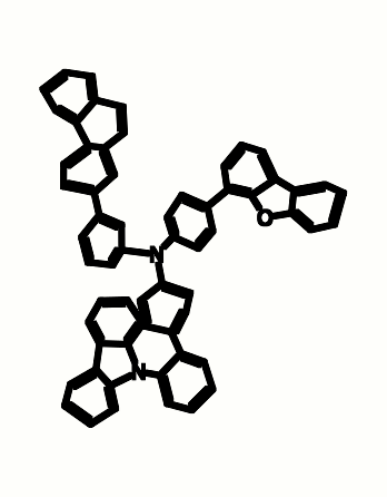 c1cc(-c2ccc3c(ccc4ccccc43)c2)cc(N(c2ccc(-c3ccccc3-n3c4ccccc4c4ccccc43)cc2)c2ccc(-c3cccc4c3oc3ccccc34)cc2)c1